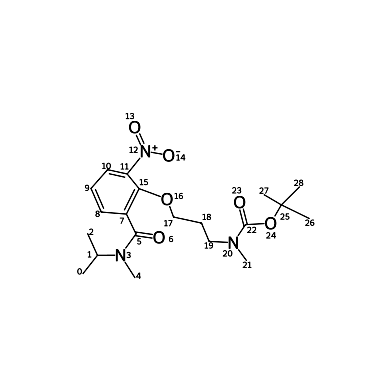 CC(C)N(C)C(=O)c1cccc([N+](=O)[O-])c1OCCCN(C)C(=O)OC(C)(C)C